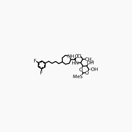 CSC1OC(C(NC(=O)C2CCC(CCCCc3cc(F)cc(F)c3)CCN2)C(C)Cl)C(O)[C@H](O)O1